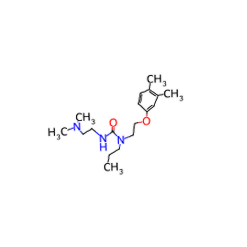 CCCN(CCOc1ccc(C)c(C)c1)C(=O)NCCN(C)C